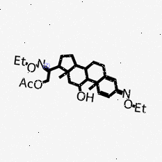 CCON=C1C=CC2(C)C(=C1)CCC1C2C(O)CC2(C)C(/C(COC(C)=O)=N/OCC)CCC12